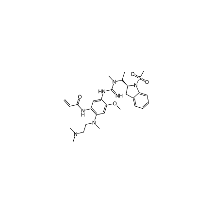 C=CC(=O)Nc1cc(NC(=N)N(C)C(C)[C@@H]2Cc3ccccc3N2S(C)(=O)=O)c(OC)cc1N(C)CCN(C)C